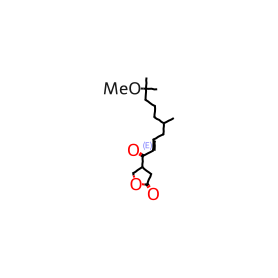 COC(C)(C)CCCC(C)C/C=C/C(=O)C1COC(=O)C1